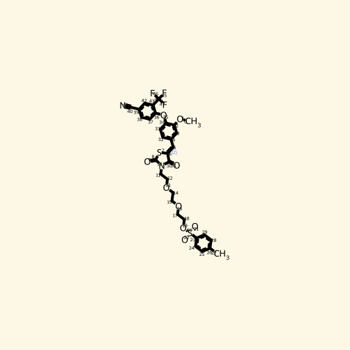 COc1cc(/C=C2\SC(=O)N(CCOCCOCCOS(=O)(=O)c3ccc(C)cc3)C2=O)ccc1Oc1ccc(C#N)cc1C(F)(F)F